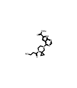 COC(=O)c1cc2c(N3CCN(C(=O)CCC#N)C4(CC4)C3)ncnc2[nH]1